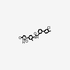 Cc1ccc(-c2cccc(CC(=O)Nc3ccc(-n4ccc(=O)[nH]c4=O)cc3C)c2)cc1Cl